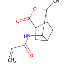 C=CC(=O)NC1C2CC3C(=O)OC1(C#N)C3C2